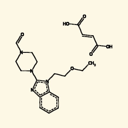 CCOCCn1c(N2CCN(C=O)CC2)nc2ccccc21.O=C(O)C=CC(=O)O